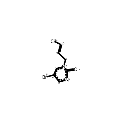 O=c1ncc(Br)cn1CC=CCl